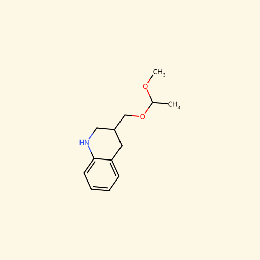 COC(C)OCC1CNc2ccccc2C1